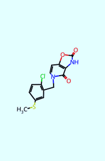 CSc1ccc(Cl)c(Cn2ccc3oc(=O)[nH]c3c2=O)c1